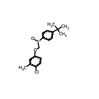 Cc1cc(OC[S+]([O-])c2ccc(C(C)(C)C)cc2)ccc1Cl